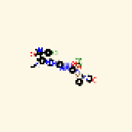 CCCN(C)C1=C(C)C(c2c(C=O)c(C)n(C)c2-c2ccc(Cl)cc2)C=C(N2CCN(c3ccc(NNc4ccc(N[C@H](CCN5CCC(O)CC5)SC5=CCCC=C5)c(S(=O)(=O)C(F)(F)F)c4)cc3)CC2)C1